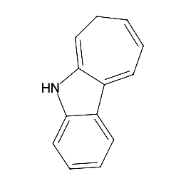 C1=CCC=c2[nH]c3ccccc3c2=C1